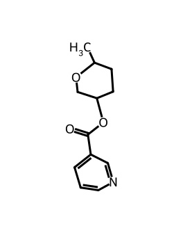 CC1CCC(OC(=O)c2cccnc2)CO1